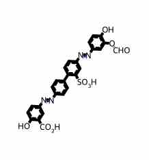 O=COc1cc(/N=N/c2ccc(-c3ccc(/N=N/c4ccc(O)c(C(=O)O)c4)cc3)c(S(=O)(=O)O)c2)ccc1O